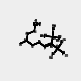 CC(CCO)CCC=C(C(F)(F)F)C(F)(F)F